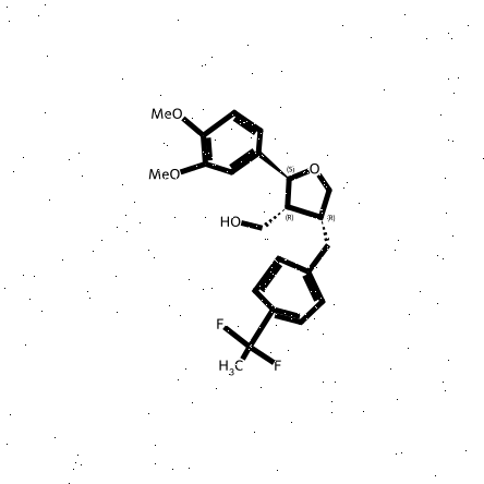 COc1ccc([C@H]2OC[C@H](Cc3ccc(C(C)(F)F)cc3)[C@@H]2CO)cc1OC